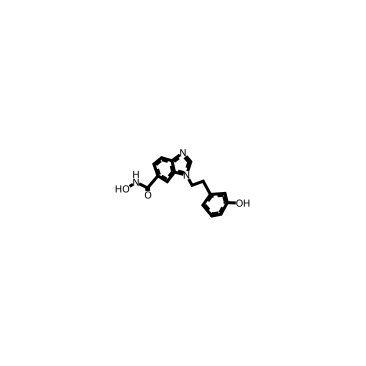 O=C(NO)c1ccc2ncn(CCc3cccc(O)c3)c2c1